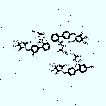 CCCC1=NC(C)(C)C(=O)N1Cc1ccc(-c2ccccc2S(=O)(=O)NC(=O)C(F)(F)F)cc1.CCCCCC(=O)NS(=O)(=O)c1cc(CCC)ccc1-c1ccc(CN2C(=O)C(C)(C)N=C2CCC)cc1.CCCCCC(=O)NS(=O)(=O)c1ccccc1-c1ccc(CN2C(=O)C(C)(C)N=C2CCC)c(C)c1